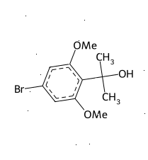 COc1cc(Br)cc(OC)c1C(C)(C)O